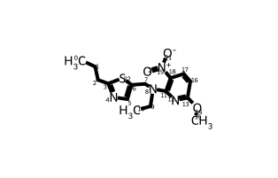 CCCc1ncc(CN(CC)c2nc(OC)ccc2[N+](=O)[O-])s1